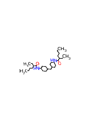 CCCCC(CC)C(=O)NC1CCC(CC2CCC(NC(=O)C(CC)CCCC)CC2)CC1